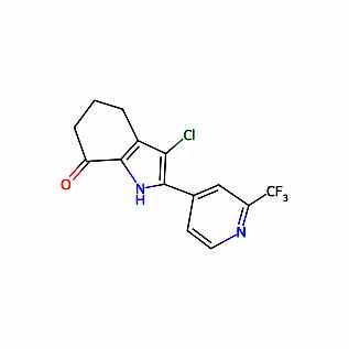 O=C1CCCc2c1[nH]c(-c1ccnc(C(F)(F)F)c1)c2Cl